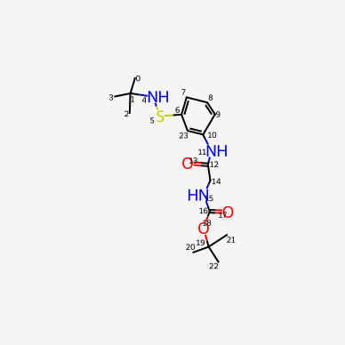 CC(C)(C)NSc1cccc(NC(=O)CNC(=O)OC(C)(C)C)c1